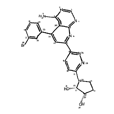 Nc1ncnc2nc(-c3ccc(N4CC[C@H](O)[C@@H]4O)nn3)cc(-c3cccc(Br)c3)c12